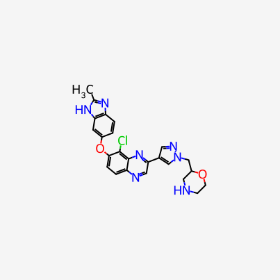 Cc1nc2ccc(Oc3ccc4ncc(-c5cnn(CC6CNCCO6)c5)nc4c3Cl)cc2[nH]1